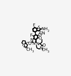 C[C@H]1CN2CCC[C@@]2(COc2nc3c4c(c(Cl)c(-c5ccc(F)c6sc(N)c(C#N)c56)c(F)c4n2)OCCC2C(=O)N(C)CCCN32)C1